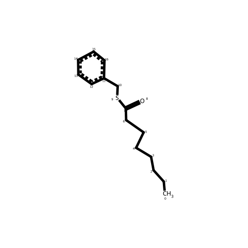 CCCCCCCC(=O)SCc1ccccc1